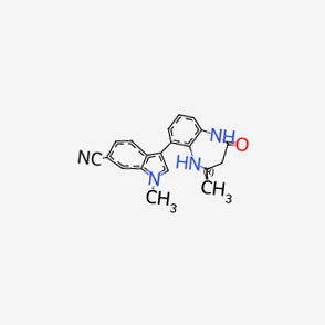 C[C@@H]1CC(=O)Nc2cccc(-c3cn(C)c4cc(C#N)ccc34)c2N1